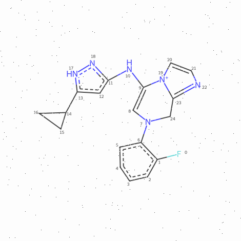 Fc1ccccc1N1C=C(Nc2cc(C3CC3)[nH]n2)[N+]2C=CN=C2C1